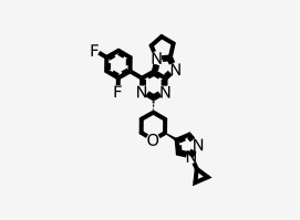 Fc1ccc(-c2nc([C@H]3CCO[C@H](c4cnn(C5CC5)c4)C3)nc3nc4n(c23)CCC4)c(F)c1